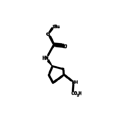 CC(C)(C)OC(=O)N[C@@H]1CCC(NC(=O)O)C1